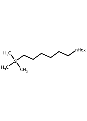 [CH2][Si](C)(C)CCCCCCCCCCCC